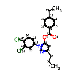 CCCc1cc(OC(=O)c2ccc(CC)cc2)n(-c2ccc(Cl)c(Cl)c2)n1